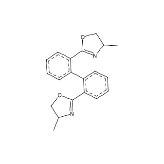 CC1COC(c2ccccc2-c2ccccc2C2=NC(C)CO2)=N1